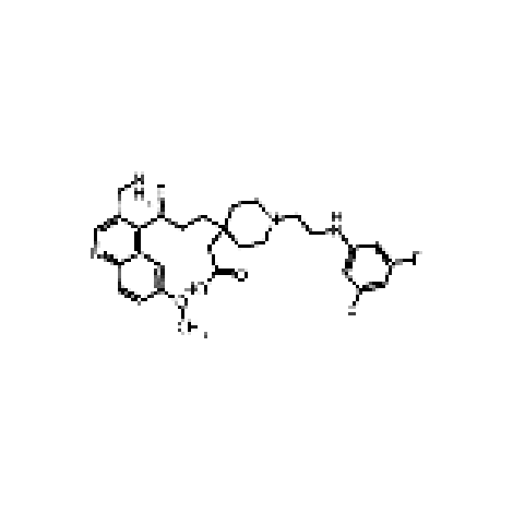 COc1ccc2ncc(CN)c(C(F)CCC3(CC(=O)O)CCN(CCNc4cc(F)cc(F)c4)CC3)c2c1